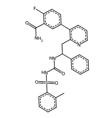 Cc1ccccc1S(=O)(=O)NC(=O)NC(Cc1ncccc1-c1ccc(F)c(C(N)=O)c1)c1ccccc1